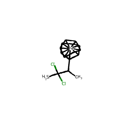 CC(C([SiH3])(Cl)Cl)[C]12[CH]3[CH]4[CH]5[CH]1[Fe]45321678[CH]2[CH]1[CH]6[CH]7[CH]28